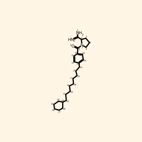 N=C(N)C1CCCN1C(=O)c1ccc(CCCCCCCCCC2CCCCC2)cc1